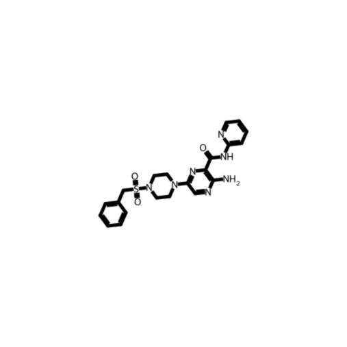 Nc1ncc(N2CCN(S(=O)(=O)Cc3ccccc3)CC2)nc1C(=O)Nc1ccccn1